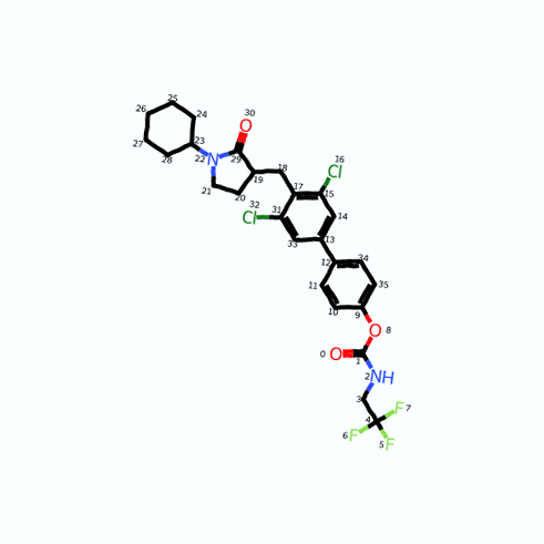 O=C(NCC(F)(F)F)Oc1ccc(-c2cc(Cl)c(CC3CCN(C4CCCCC4)C3=O)c(Cl)c2)cc1